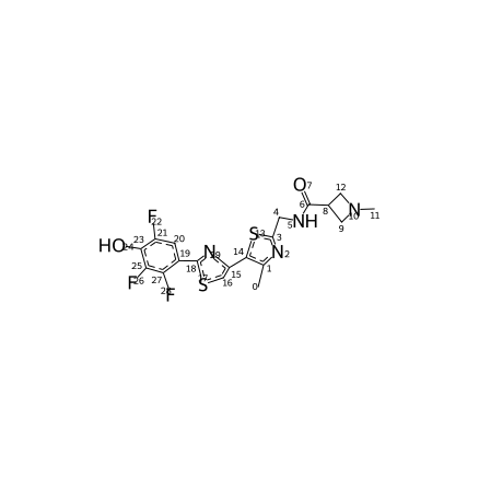 Cc1nc(CNC(=O)C2CN(C)C2)sc1-c1csc(-c2cc(F)c(O)c(F)c2F)n1